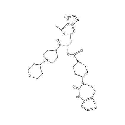 Cc1cc(CC(OC(=O)N2CCC(N3CCc4ccccc4NC3=O)CC2)C(=O)N2CCN(C3CCOCC3)CC2)cc2nc[nH]c12